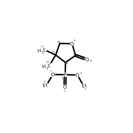 CCOP(=O)(OCC)C1C(=O)OCC1(C)C